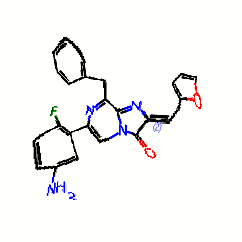 Nc1ccc(F)c(C2=CN3C(=O)/C(=C/c4ccco4)N=C3C(Cc3ccccc3)=N2)c1